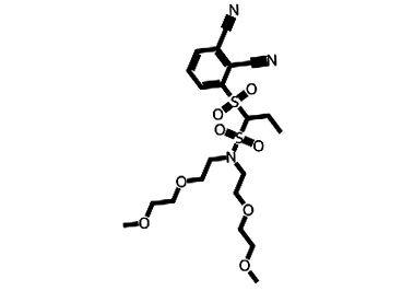 CCC(S(=O)(=O)c1cccc(C#N)c1C#N)S(=O)(=O)N(CCOCCOC)CCOCCOC